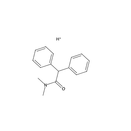 CN(C)C(=O)C(c1ccccc1)c1ccccc1.[H+]